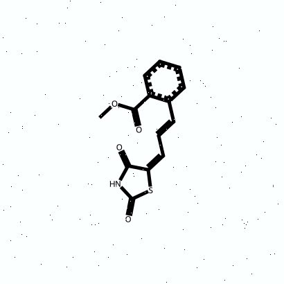 COC(=O)c1ccccc1C=CC=C1SC(=O)NC1=O